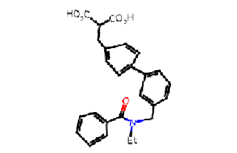 CCN(Cc1cccc(-c2ccc(CC(C(=O)O)C(=O)O)cc2)c1)C(=O)c1ccccc1